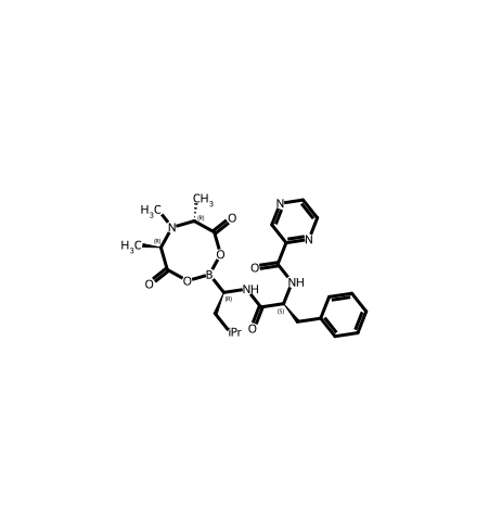 CC(C)C[C@H](NC(=O)[C@H](Cc1ccccc1)NC(=O)c1cnccn1)B1OC(=O)[C@@H](C)N(C)[C@H](C)C(=O)O1